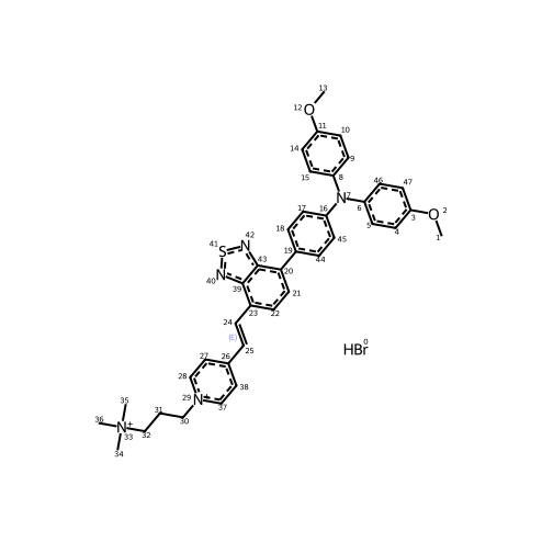 Br.COc1ccc(N(c2ccc(OC)cc2)c2ccc(-c3ccc(/C=C/c4cc[n+](CCC[N+](C)(C)C)cc4)c4nsnc34)cc2)cc1